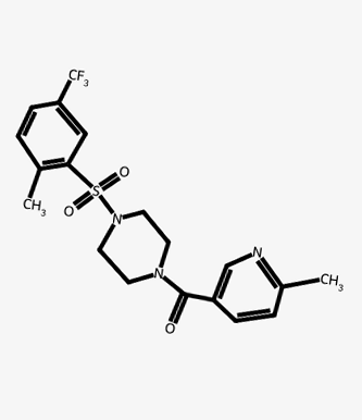 Cc1ccc(C(=O)N2CCN(S(=O)(=O)c3cc(C(F)(F)F)ccc3C)CC2)cn1